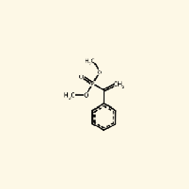 C=C(c1ccccc1)P(=O)(OC)OC